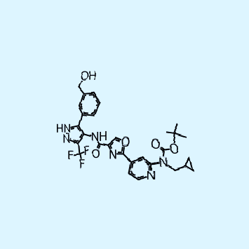 CC(C)(C)OC(=O)N(CC1CC1)c1cc(-c2nc(C(=O)Nc3c(C(F)(F)F)n[nH]c3-c3cccc(CO)c3)co2)ccn1